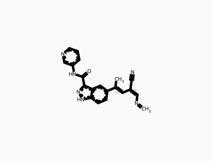 C=N/C=C(C#N)\C=C(/C)c1ccc2[nH]nc(C(=O)Nc3cccnc3)c2c1